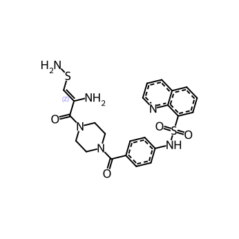 NS/C=C(\N)C(=O)N1CCN(C(=O)c2ccc(NS(=O)(=O)c3cccc4cccnc34)cc2)CC1